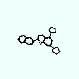 c1ccc2cc(-c3ccc4c(C5CCCC5)cc(C5CCCC5)cc4n3)ccc2c1